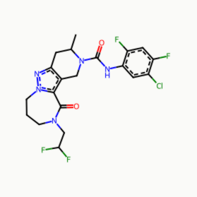 CC1Cc2nn3c(c2CN1C(=O)Nc1cc(Cl)c(F)cc1F)C(=O)N(CC(F)F)CCC3